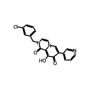 O=c1c(-c2cccnc2)cn2ccn(Cc3cccc(Cl)c3)c(=O)c2c1O